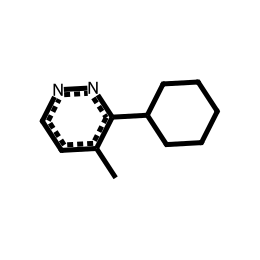 Cc1ccnnc1C1CCCCC1